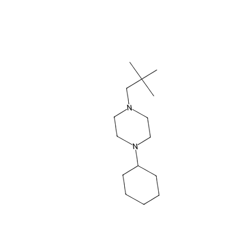 CC(C)(C)CN1CCN(C2CCCCC2)CC1